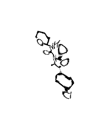 C[C@@H]1[C@@H](c2ccc(Cl)cc2)OC(=O)N1C(=O)NC1CCCCO1